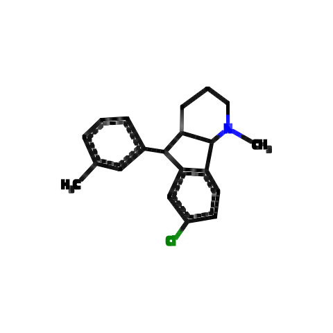 Cc1cccc(C2c3cc(Cl)ccc3C3C2CCCN3C)c1